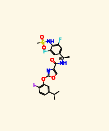 CC(C)c1ccc(I)c(Oc2nc(C(=O)N[C@H](C)c3cc(F)c(NS(C)(=O)=O)c(F)c3)co2)c1